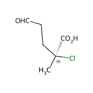 C[C@](Cl)(CCC=O)C(=O)O